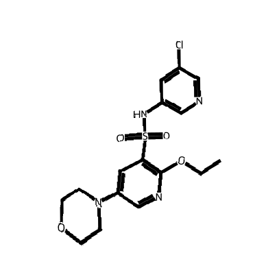 CCOc1ncc(N2CCOCC2)cc1S(=O)(=O)Nc1cncc(Cl)c1